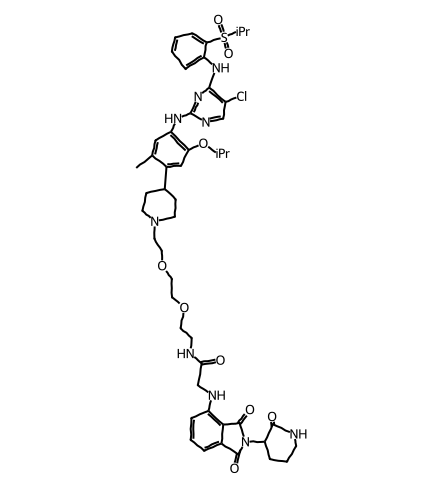 Cc1cc(Nc2ncc(Cl)c(Nc3ccccc3S(=O)(=O)C(C)C)n2)c(OC(C)C)cc1C1CCN(CCOCCOCCNC(=O)CNc2cccc3c2C(=O)N(C2CCCNC2=O)C3=O)CC1